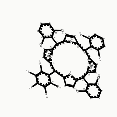 Fc1c(F)c(F)c(-c2c3nc(c(-c4c(Cl)cccc4Cl)c4ccc([nH]4)c(-c4c(Cl)cccc4Cl)c4nc(c(-c5c(Cl)cccc5Cl)c5ccc2[nH]5)C=C4)C=C3)c(F)c1F